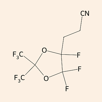 N#CCCC1(F)OC(C(F)(F)F)(C(F)(F)F)OC1(F)F